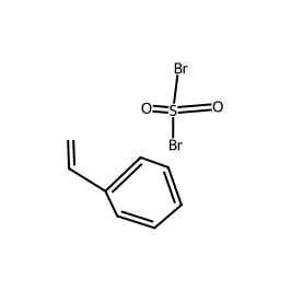 C=Cc1ccccc1.O=S(=O)(Br)Br